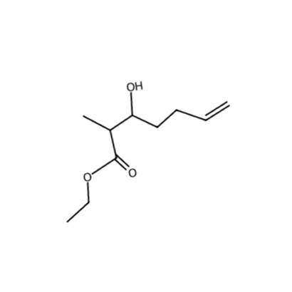 C=CCCC(O)C(C)C(=O)OCC